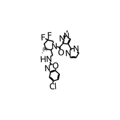 C[C@@H]1CC(F)(F)CN(C(=O)c2nn(C)cc2-c2ncccn2)C1CNc1nc2cc(Cl)ccc2o1